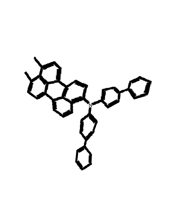 Cc1ccc2c3cccc4c(N(c5ccc(-c6ccccc6)cc5)c5ccc(-c6ccccc6)cc5)ccc(c5ccc(C)c1c25)c43